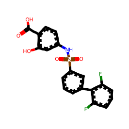 O=C(O)c1ccc(NS(=O)(=O)c2cccc(-c3c(F)cccc3F)c2)cc1O